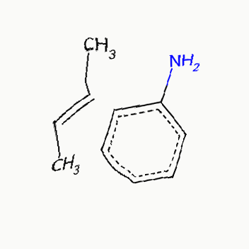 CC=CC.Nc1ccccc1